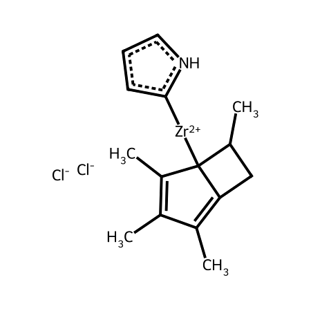 CC1=C(C)[C]2([Zr+2][c]3ccc[nH]3)C(=C1C)CC2C.[Cl-].[Cl-]